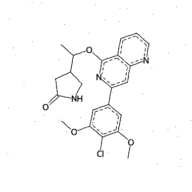 COc1cc(-c2cc3ncccc3c(OC(C)C3CNC(=O)C3)n2)cc(OC)c1Cl